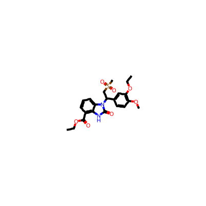 CCOC(=O)c1cccc2c1[nH]c(=O)n2C(CS(C)(=O)=O)c1ccc(OC)c(OCC)c1